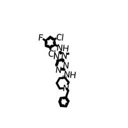 Cn1c(Nc2c(Cl)cc(F)cc2Cl)nc2cnc(N[C@@H]3CCCN(Cc4ccccc4)C3)nc21